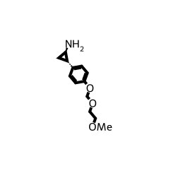 COCCOCOc1ccc([C@@H]2C[C@H]2N)cc1